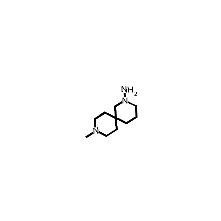 CN1CCC2(CCCN(N)C2)CC1